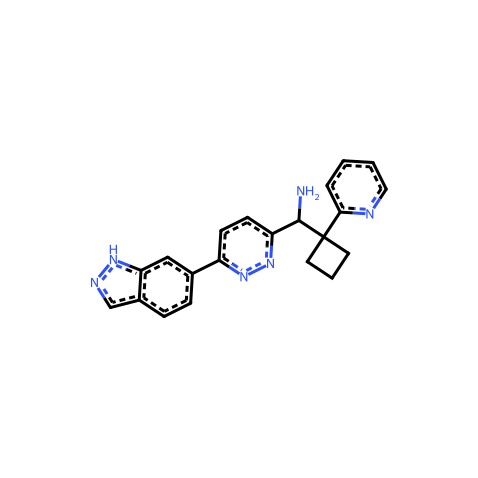 NC(c1ccc(-c2ccc3cn[nH]c3c2)nn1)C1(c2ccccn2)CCC1